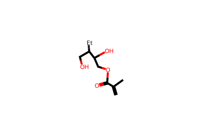 C=C(C)C(=O)OCC(O)C(CC)CO